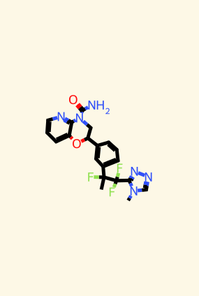 Cn1cnnc1C(F)(F)C(C)(F)c1cccc(C2CN(C(N)=O)c3ncccc3O2)c1